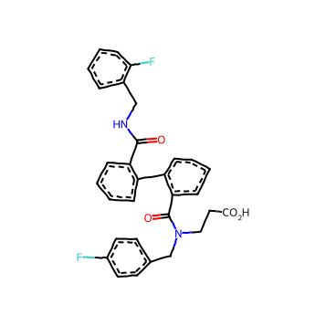 O=C(O)CCN(Cc1ccc(F)cc1)C(=O)c1ccccc1-c1ccccc1C(=O)NCc1ccccc1F